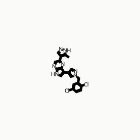 Cc1[nH]ncc1-c1cnc2[nH]cc(-c3cnn(Cc4cc(Cl)ccc4Cl)c3)c2n1